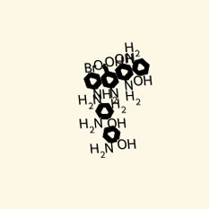 Nc1ccc(Br)cc1.Nc1ccc(C(=O)O)cc1.Nc1ccc(O)c(N)c1.Nc1ccc(O)cc1.Nc1cccc(O)c1.Nc1ccccc1O